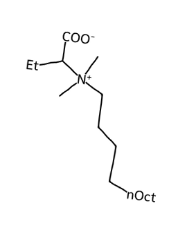 CCCCCCCCCCCC[N+](C)(C)C(CC)C(=O)[O-]